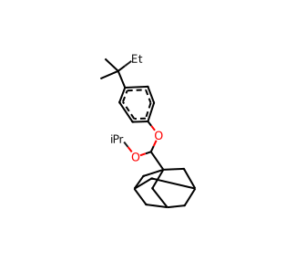 CCC(C)(C)c1ccc(OC(OC(C)C)C23CC4CC(CC(C4)C2)C3)cc1